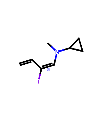 C=C/C(I)=C\N(C)C1CC1